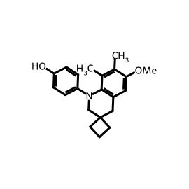 COc1cc2c(c(C)c1C)N(c1ccc(O)cc1)CC1(CCC1)C2